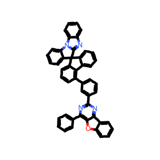 c1ccc(-c2nc(-c3cccc(-c4cccc5c4-c4ccccc4C54c5ccccc5-n5c4nc4ccccc45)c3)nc3c2oc2ccccc23)cc1